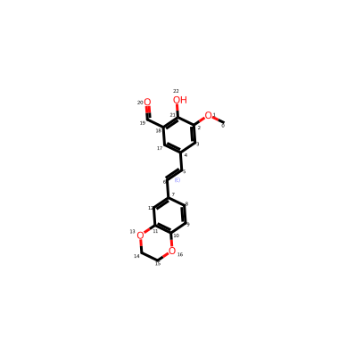 COc1cc(/C=C/c2ccc3c(c2)OCCO3)cc(C=O)c1O